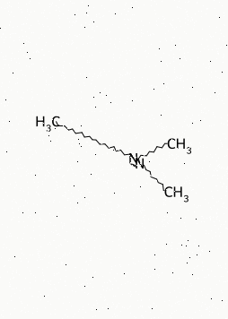 CCCCCCCCCCCCCCCCCCCN1C=CN(CCCCCCCCC)C1CCCCCCCC